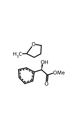 CC1CCCO1.COC(=O)[C@H](O)c1ccccc1